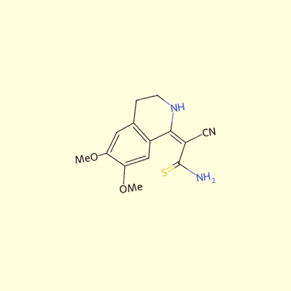 COc1cc2c(cc1OC)C(=C(C#N)C(N)=S)NCC2